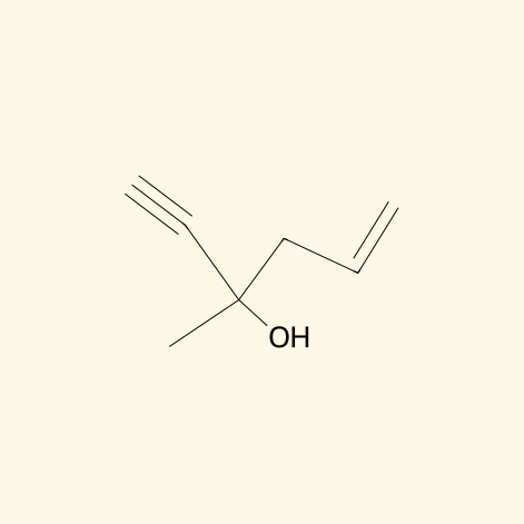 C#CC(C)(O)CC=C